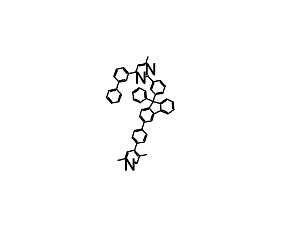 Cc1cc(-c2ccc(-c3ccc4c(c3)-c3ccccc3C4(c3ccccc3)c3cccc(-c4nc(C)cc(-c5cccc(-c6ccccc6)c5)n4)c3)cc2)c(C)cn1